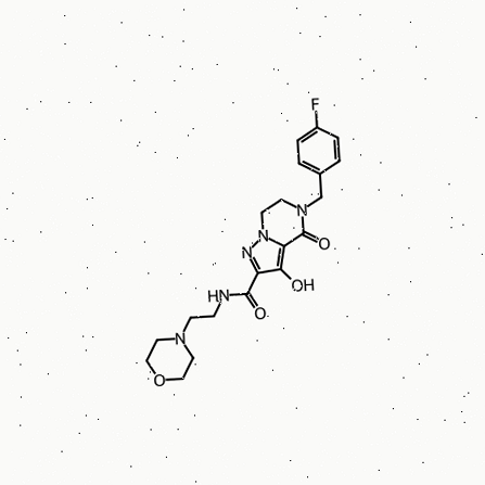 O=C(NCCN1CCOCC1)c1nn2c(c1O)C(=O)N(Cc1ccc(F)cc1)CC2